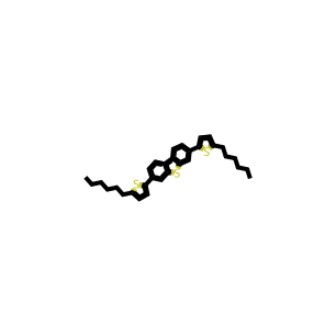 CCCCCCc1ccc(-c2ccc3c(c2)sc2cc(-c4ccc(CCCCCC)s4)ccc23)s1